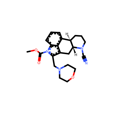 COC(=O)n1c(CN2CCOCC2)c2c3c(cccc31)[C@H]1CCCN(C#N)[C@@H]1C2